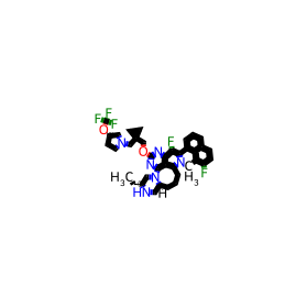 CC[C@@H]1CN2c3nc(OCC4(CN5CC[C@H](OC(F)(F)F)C5)CC4)nc4c(F)c(-c5cccc6ccc(F)c(C)c56)nc(c34)CCC[C@@H]2CN1